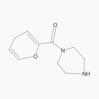 O=C(C1=CCC=CO1)N1CCNCC1